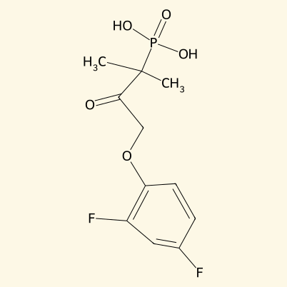 CC(C)(C(=O)COc1ccc(F)cc1F)P(=O)(O)O